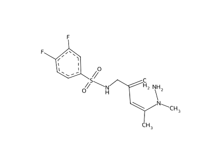 C=C(/C=C(/C)N(C)N)CNS(=O)(=O)c1ccc(F)c(F)c1